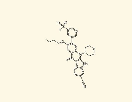 CCCCOc1cc2c(=O)c3c4ccc(C#N)cc4[nH]c3n(C3CCOCC3)c2cc1-c1cncc(S(=O)(=O)F)c1